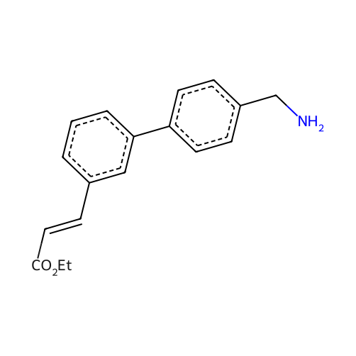 CCOC(=O)/C=C/c1cccc(-c2ccc(CN)cc2)c1